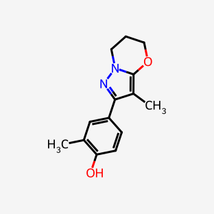 Cc1cc(-c2nn3c(c2C)OCCC3)ccc1O